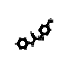 O=C(Nc1ccc(O)cc1)Oc1ccccc1